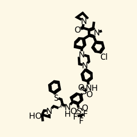 Cc1c(C(=O)N2CCC2)c(-c2cccc(N3CCN(c4ccc(NS(=O)(=O)c5ccc(N[C@H](CCN6CC(C)(O)C6)CSc6ccccc6)c(S(=O)(=O)C(F)(F)F)c5)cc4)CC3)c2)c(-c2ccc(Cl)cc2)n1C